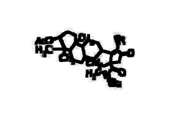 CC(=O)O[C@H]1CC[C@@]2(C)C(CC[C@@]3(C)C4CC[C@@]5(C(=O)N(C)C(C)(C)C)CC(=O)C(C(C)C)=C5C4CCC32)C1(C)C